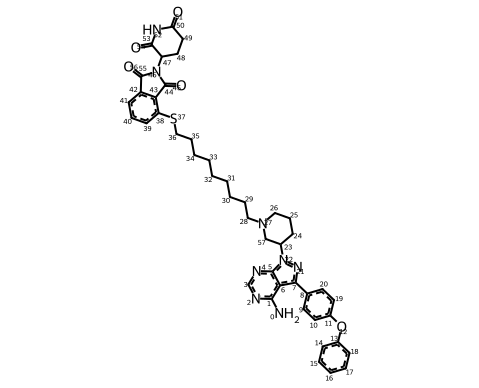 Nc1ncnc2c1c(-c1ccc(Oc3ccccc3)cc1)nn2C1CCCN(CCCCCCCCCSc2cccc3c2C(=O)N(C2CCC(=O)NC2=O)C3=O)C1